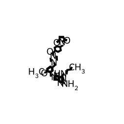 CCCCNc1nc(N)nc2cn(Cc3cc(CN4CCN(C(=O)C5CCC(CN6C(=O)C=CC6=O)CC5)CC4)ccc3OC)nc12